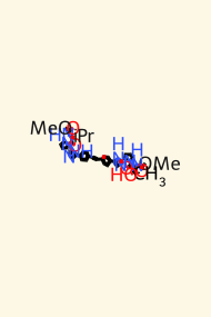 COC(=O)NC(C(=O)N1CCC[C@H]1c1ncc(-c2ccc(C#Cc3ccc(-c4cnc([C@@H]5CCCN5C(=O)[C@@H](NC(=O)OC)C(C)C)[nH]4)cc3)cc2)[nH]1)[C@@H](C)O